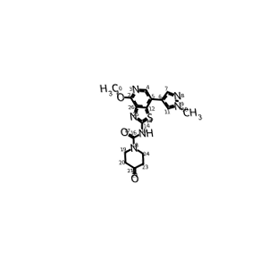 COc1ncc(-c2cnn(C)c2)c2sc(NC(=O)N3CCC(=O)CC3)nc12